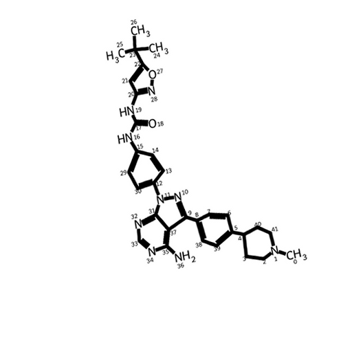 CN1CCC(c2ccc(-c3nn(-c4ccc(NC(=O)Nc5cc(C(C)(C)C)on5)cc4)c4ncnc(N)c34)cc2)CC1